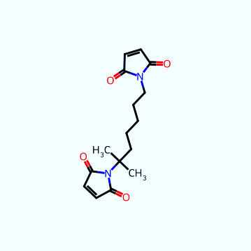 CC(C)(CCCCCN1C(=O)C=CC1=O)N1C(=O)C=CC1=O